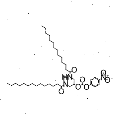 CCCCCCCCCCCCCC(=O)NCC(CNC(=O)CCCCCCCCCCCCC)OC(=O)Oc1ccc([N+](=O)[O-])cc1